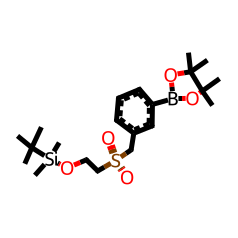 CC1(C)OB(c2cccc(CS(=O)(=O)CCO[Si](C)(C)C(C)(C)C)c2)OC1(C)C